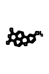 Cc1ccc2oc3ccc4c(=O)oc(=O)c5ccc(c2c1)c3c45